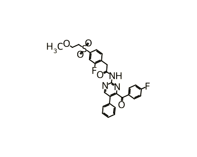 COCCS(=O)(=O)c1ccc(CC(=O)Nc2ncc(-c3ccccc3)c(C(=O)c3ccc(F)cc3)n2)c(F)c1